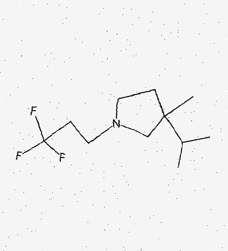 CC(C)C1(C)CCN(CCC(F)(F)F)C1